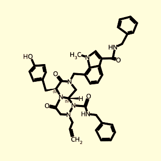 C=CCN1CC(=O)N2[C@@H](Cc3ccc(O)cc3)C(=O)N(Cc3cccc4c(C(=O)NCc5ccccc5)cn(C)c34)C[C@@H]2N1C(=O)NCc1ccccc1